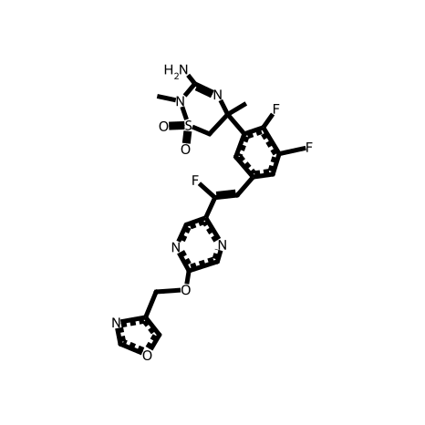 CN1C(N)=NC(C)(c2cc(C=C(F)c3cnc(OCc4cocn4)cn3)cc(F)c2F)CS1(=O)=O